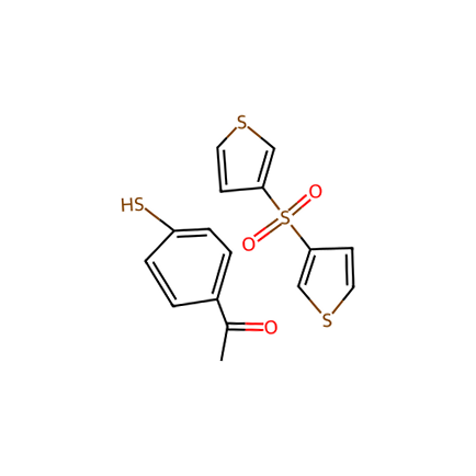 CC(=O)c1ccc(S)cc1.O=S(=O)(c1ccsc1)c1ccsc1